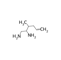 C=CCC(C)C(N)CN